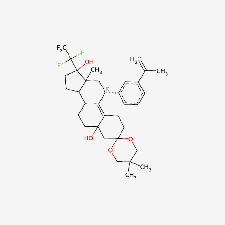 C=C(C)c1cccc([C@H]2CC3(C)C(CCC3(O)C(F)(F)C(F)(F)F)C3CCC4(O)CC5(CCC4=C32)OCC(C)(C)CO5)c1